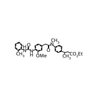 CCOC(=O)CC(C)c1ccc(N(C)C(=O)Cc2ccc(NC(=O)Nc3ccccc3C)c(OC)c2)cc1